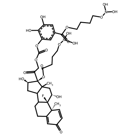 CC12C[C@H](O)[C@@]3(F)C(CCC4=CC(=O)C=C[C@@]43C)C1C[C@@H](O)[C@]2(OC(=O)CCCON(O)O)C(=O)COC(=O)Oc1cc(C(=O)OCCCCON(O)O)cc(O)c1O